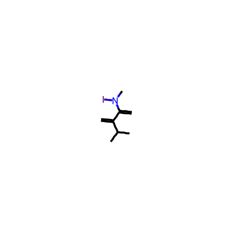 C=C(C(=C)N(C)I)C(C)C